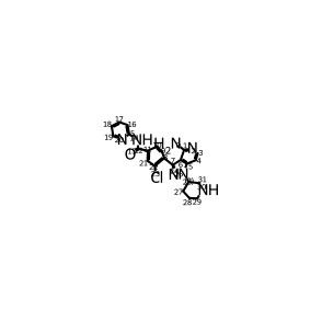 Nc1nccc2c1c(-c1ccc(C(=O)Nc3ccccn3)cc1Cl)nn2[C@@H]1CCCNC1